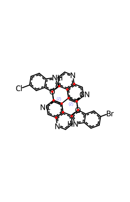 N#C/C(=C(/C(=C(/C#N)c1c[nH]c2ccc(Br)cc12)c1cnccc1Oc1ccccc1)c1cnccc1Oc1ccccc1)c1c[nH]c2ccc(Cl)cc12